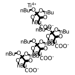 CCCCOC(OCCCC)(OCCCC)C(=O)CC(=O)[O-].CCCCOC(OCCCC)(OCCCC)C(=O)CC(=O)[O-].CCCCOC(OCCCC)(OCCCC)C(=O)CC(=O)[O-].CCCCOC(OCCCC)(OCCCC)C(=O)CC(=O)[O-].[Ti+4]